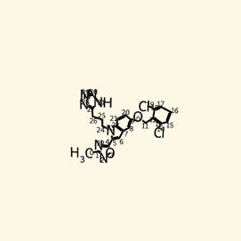 Cc1noc(-c2cc3cc(OCc4c(Cl)cccc4Cl)ccc3n2CCCc2nnn[nH]2)n1